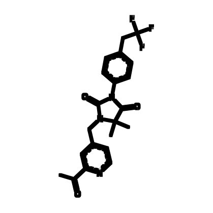 CC(=O)c1cc(CN2C(=O)N(c3ccc(CC(F)(F)F)cc3)C(=O)C2(C)C)ccn1